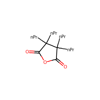 CCCC1(CCC)C(=O)OC(=O)C1(CCC)CCC